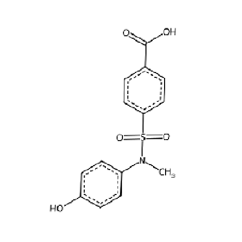 CN(c1ccc(O)cc1)S(=O)(=O)c1ccc(C(=O)O)cc1